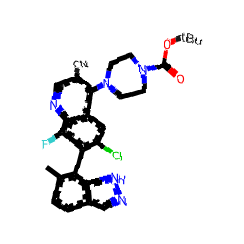 Cc1ccc2cn[nH]c2c1-c1c(Cl)cc2c(N3CCN(C(=O)OC(C)(C)C)CC3)c(C#N)cnc2c1F